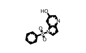 O=S(=O)(c1ccccc1)n1ccc2ncc(O)cc21